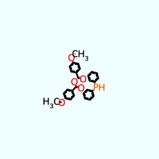 COc1ccc(C(=O)OC(=O)c2ccc(OC)cc2)cc1.c1ccc(Pc2ccccc2)cc1